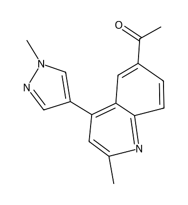 CC(=O)c1ccc2nc(C)cc(-c3cnn(C)c3)c2c1